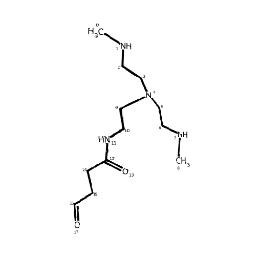 CNCCN(CCNC)CCNC(=O)CCC=O